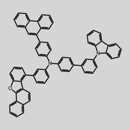 c1cc(-c2cccc3oc4c5ccccc5ccc4c23)cc(N(c2ccc(-c3cccc(-n4c5ccccc5c5ccccc54)c3)cc2)c2ccc(-c3cc4ccccc4c4ccccc34)cc2)c1